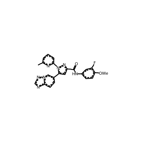 COc1ccc(NC(=O)c2cc(-c3ccc4ncnn4c3)n(-c3cccc(C)n3)n2)cc1F